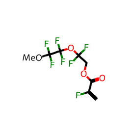 C=C(F)C(=O)OCC(F)(F)OC(F)(F)C(F)(F)OC